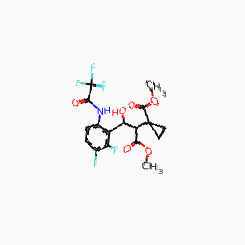 COC(=O)C(C(O)c1c(NC(=O)C(F)(F)F)ccc(F)c1F)C1(C(=O)OC)CC1